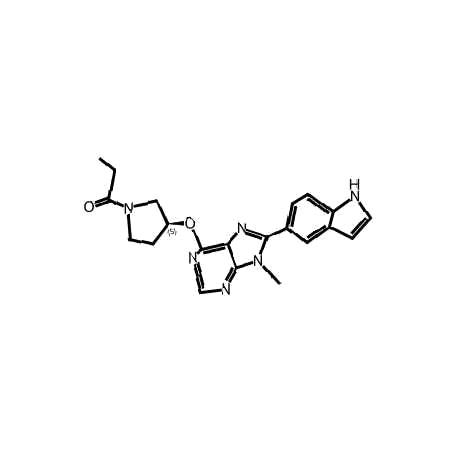 CCC(=O)N1CC[C@H](Oc2ncnc3c2nc(-c2ccc4[nH]ccc4c2)n3C)C1